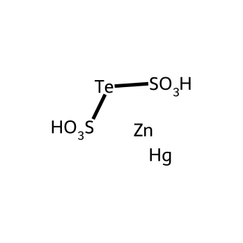 O=S(=O)(O)[Te]S(=O)(=O)O.[Hg].[Zn]